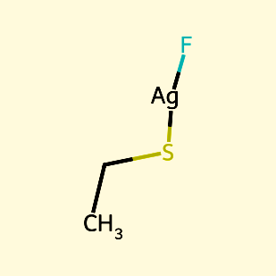 CC[S][Ag][F]